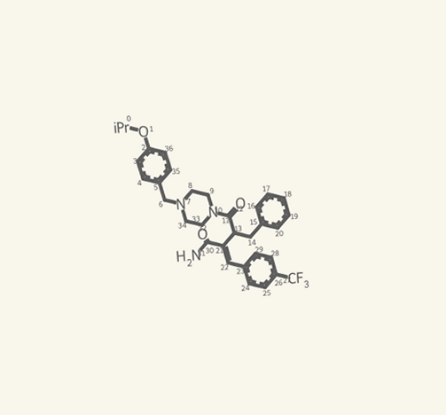 CC(C)Oc1ccc(CN2CCN(C(=O)C(Cc3ccccc3)/C(=C\c3ccc(C(F)(F)F)cc3)C(N)=O)CC2)cc1